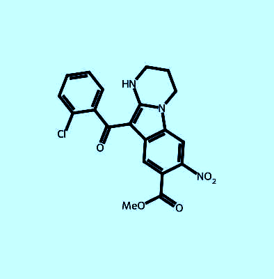 COC(=O)c1cc2c(C(=O)c3ccccc3Cl)c3n(c2cc1[N+](=O)[O-])CCCN3